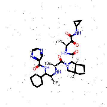 CCC[C@H](NC(=O)[C@@H]1[C@H]2CCC[C@H]2CN1C(=O)[C@@H](N[C@H]([C@H](NC(=O)c1cnccn1)C1CCCCC1)C(F)(F)F)C(C)(C)C)C(=O)C(=O)NC1CC1